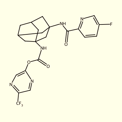 O=C(NC12CC3CC(C1)CC(NC(=O)c1ccc(F)cn1)(C3)C2)Oc1cnc(C(F)(F)F)cn1